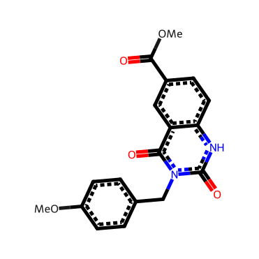 COC(=O)c1ccc2[nH]c(=O)n(Cc3ccc(OC)cc3)c(=O)c2c1